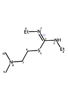 CC/N=C(/NCC)SCCN(C)C